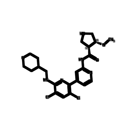 CO[C@H]1CNC[C@@H]1C(=O)Nc1cc(-c2nc(NCC3CCOCC3)c(Cl)cc2Cl)ccn1